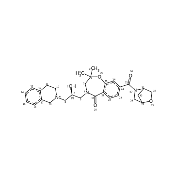 CC1(C)CN(C[C@H](O)CN2CCc3ccccc3C2)C(=O)c2ccc(C(=O)N3CC4CC3CO4)cc2O1